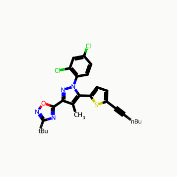 CCCCC#Cc1ccc(-c2c(C)c(-c3nc(C(C)(C)C)no3)nn2-c2ccc(Cl)cc2Cl)s1